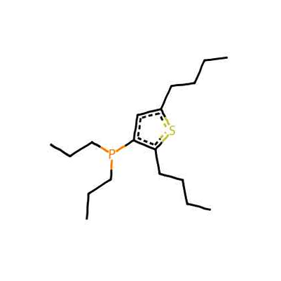 CCCCc1cc(P(CCC)CCC)c(CCCC)s1